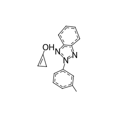 Cc1cccc(-n2nc3ccccc3n2)c1.OC1=CC1